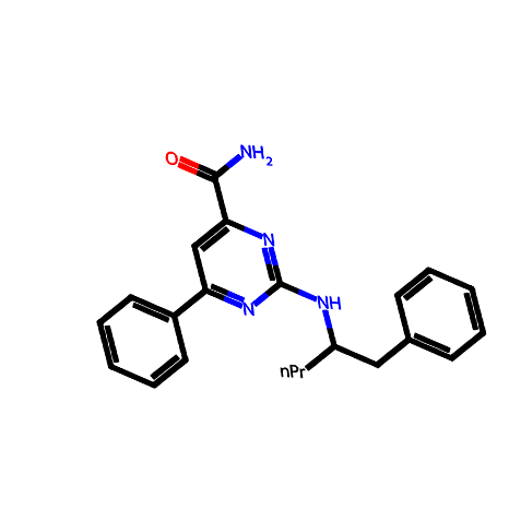 CCCC(Cc1ccccc1)Nc1nc(C(N)=O)cc(-c2ccccc2)n1